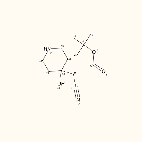 CC(C)(C)OC=O.N#CCC1(O)CCNCC1